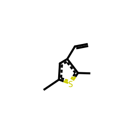 C=Cc1cc(C)sc1C